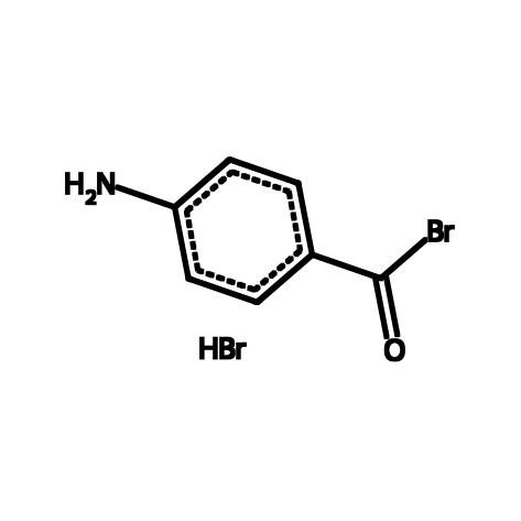 Br.Nc1ccc(C(=O)Br)cc1